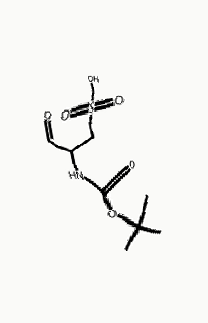 CC(C)(C)OC(=O)NC(C=O)CS(=O)(=O)O